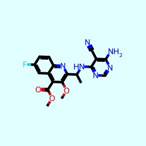 COC(=O)c1c(OC)c(C(C)Nc2ncnc(N)c2C#N)nc2ccc(F)cc12